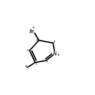 CC1=CC(Br)CN=C1